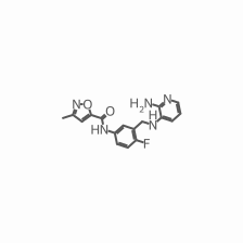 Cc1cc(C(=O)Nc2ccc(F)c(CNc3cccnc3N)c2)on1